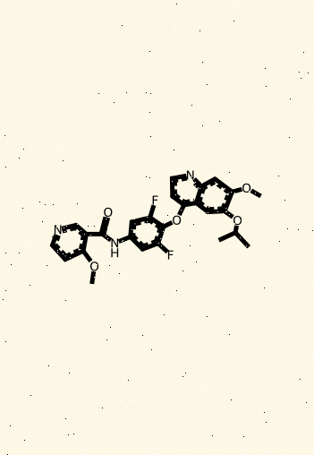 COc1cc2nccc(Oc3c(F)cc(NC(=O)c4cnccc4OC)cc3F)c2cc1OC(C)C